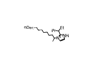 CCCCCCCCCCCCCCCCCC(C)[n+]1cc[nH]c1C(CC)C(C)C